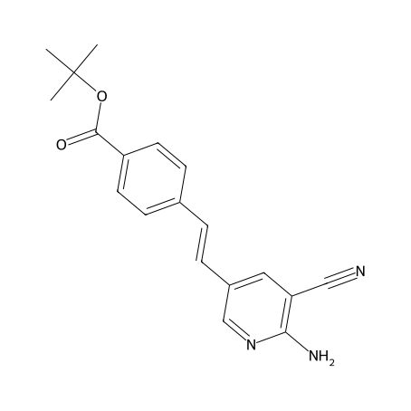 CC(C)(C)OC(=O)c1ccc(/C=C/c2cnc(N)c(C#N)c2)cc1